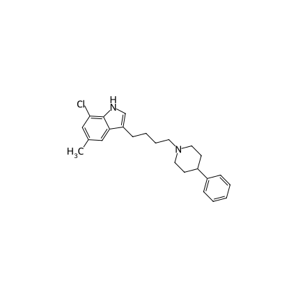 Cc1cc(Cl)c2[nH]cc(CCCCN3CCC(c4ccccc4)CC3)c2c1